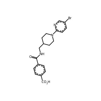 O=C(O)c1ccc(C(=O)NCC2CCN(c3ccc(Br)cn3)CC2)cc1